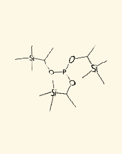 CC(OP(OC(C)[Si](C)(C)C)OC(C)[Si](C)(C)C)[Si](C)(C)C